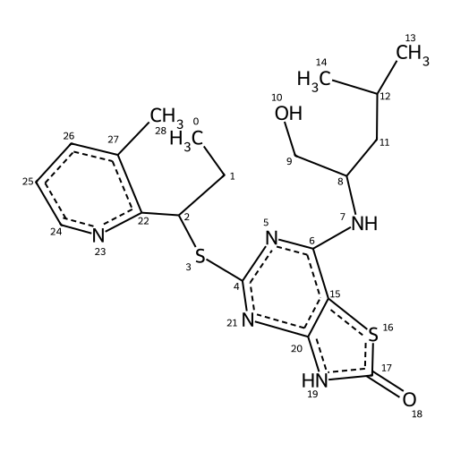 CCC(Sc1nc(NC(CO)CC(C)C)c2sc(=O)[nH]c2n1)c1ncccc1C